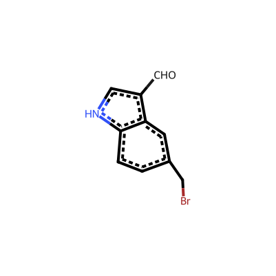 O=Cc1c[nH]c2ccc(CBr)cc12